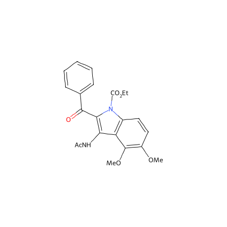 CCOC(=O)n1c(C(=O)c2ccccc2)c(NC(C)=O)c2c(OC)c(OC)ccc21